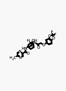 Cc1cnc(C(=O)NC23CCC(NC(=O)COc4ccc5c(c4)OC(F)(F)O5)(CC2)[C@@H](O)C3)cn1